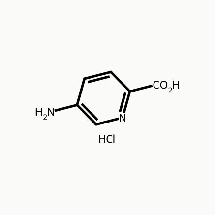 Cl.Nc1ccc(C(=O)O)nc1